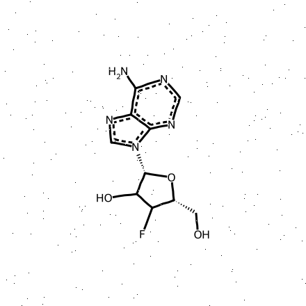 Nc1ncnc2c1ncn2[C@@H]1O[C@H](CO)C(F)C1O